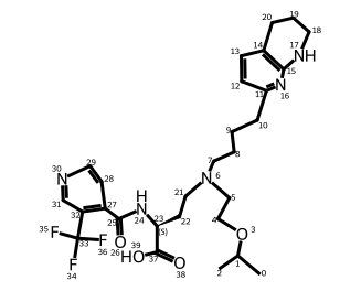 CC(C)OCCN(CCCCc1ccc2c(n1)NCCC2)CC[C@H](NC(=O)c1ccncc1C(F)(F)F)C(=O)O